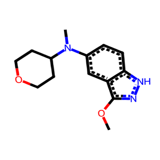 COc1n[nH]c2ccc(N(C)C3CCOCC3)cc12